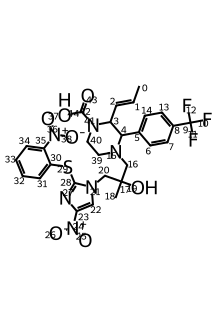 CC=CC1C(c2ccc(C(F)(F)F)cc2)N(CC(C)(O)Cn2cc([N+](=O)[O-])nc2Sc2ccccc2[N+](=O)[O-])CCN1C(=O)O